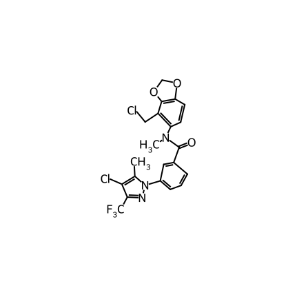 Cc1c(Cl)c(C(F)(F)F)nn1-c1cccc(C(=O)N(C)c2ccc3c(c2CCl)OCO3)c1